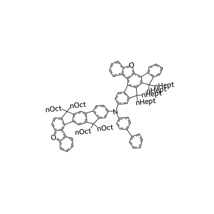 CCCCCCCCC1(CCCCCCCC)c2cc(N(c3ccc(-c4ccccc4)cc3)c3ccc4c(c3)C(CCCCCCC)(CCCCCCC)c3c5c(c6oc7ccccc7c6c3-4)-c3ccccc3C5(CCCCCCC)CCCCCCC)ccc2-c2cc3c(cc21)-c1c(ccc2oc4ccccc4c12)C3(CCCCCCCC)CCCCCCCC